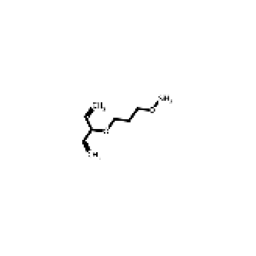 C=CC(C=C)OCCCO[SiH3]